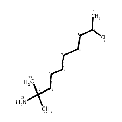 CC(Cl)CCCCCCC(C)(C)N